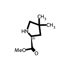 COC(=O)[C@@H]1CC(C)(C)CN1